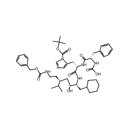 CC(C)[C@@H](CCNC(=O)OCc1ccccc1)C[C@H](O)[C@H](CC1CCCCC1)NC(=O)[C@H](Cc1cncn1C(=O)OC(C)(C)C)NC(=O)[C@H](Cc1ccccc1)NC(=O)O